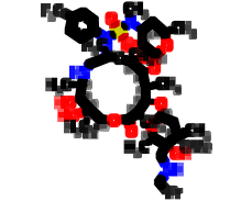 CC[C@H]1OC(=O)[C@H](C)[C@@H](O[C@H]2C[C@@](C)(OC)[C@](O)(CNCC(C)C)[C@H](C)O2)[C@H](C)[C@@H](O[C@@H]2O[C@H](C)C[C@H](N(C)S(=O)(=O)Nc3ccc(C(F)(F)F)cc3)[C@H]2O)[C@](C)(O)C[C@@H](C)CN[C@H](C)[C@@H](O)[C@]1(C)O